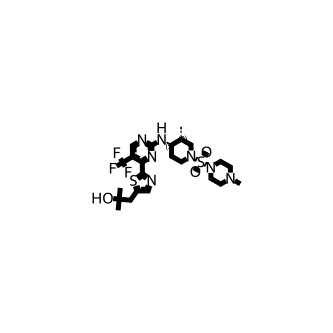 C[C@@H]1CN(S(=O)(=O)N2CCN(C)CC2)CC[C@@H]1Nc1ncc(C(F)(F)F)c(-c2ncc(CC(C)(C)O)s2)n1